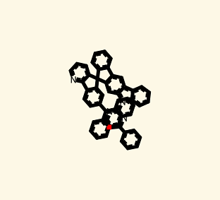 c1ccc(-c2c3ccccc3c(-c3ccc4c(c3)C3(c5ccccc5-c5cc6c7ccccc7n(-c7ncccn7)c6cc53)c3cccnc3-4)c3ccccc23)cc1